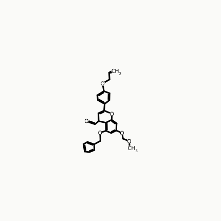 C=CCOc1ccc(C2=CC(C=O)c3c(OCc4ccccc4)cc(OCOC)cc3O2)cc1